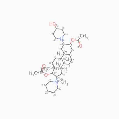 CC(=O)OC1CC2CC[C@@H]3[C@@H](CC[C@]4(C)C(OC(C)=O)C([N+]5(C)CCCCC5)C[C@@H]34)[C@@]2(C)CC1N1CCC(O)CC1